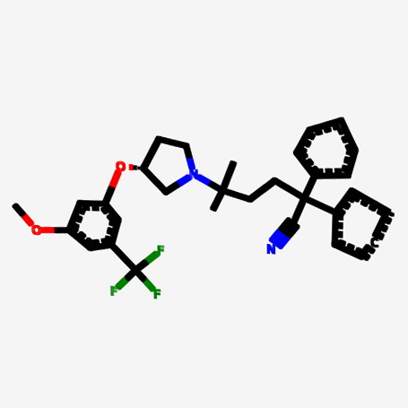 COc1cc(O[C@@H]2CCN(C(C)(C)CCC(C#N)(c3ccccc3)c3ccccc3)C2)cc(C(F)(F)F)c1